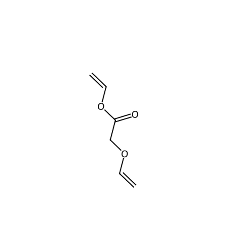 C=COCC(=O)OC=C